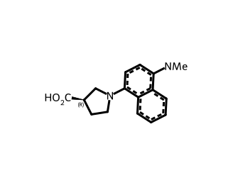 CNc1ccc(N2CC[C@@H](C(=O)O)C2)c2ccccc12